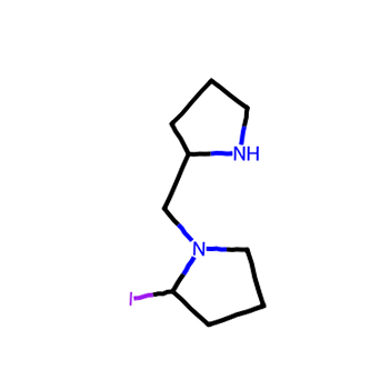 IC1CCCN1CC1CCCN1